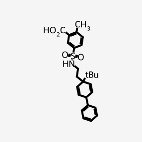 Cc1ccc(S(=O)(=O)NCCC2(C(C)(C)C)C=CC(c3ccccc3)C=C2)cc1C(=O)O